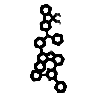 CC1(C)c2ccccc2-c2ccc(N(c3ccccc3)c3cccc(-c4cc5ccccc5c5c4oc4cccc(-c6nc(-c7ccccc7)nc(-c7ccccc7)n6)c45)c3)cc21